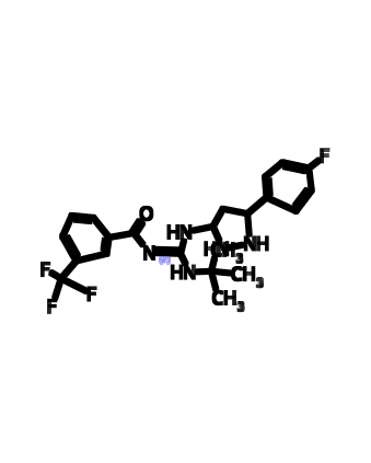 CC(C)(C)N/C(=N/C(=O)c1cccc(C(F)(F)F)c1)NC1CC(c2ccc(F)cc2)NN1